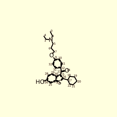 CCN(CC)CCCOc1ccc(C(=O)c2c(C3CCCCC3)sc3cc(O)ccc23)cc1